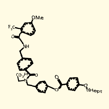 CCCCCCCOc1ccc(C(=O)Oc2ccc(CN(CC(=O)O)C(=O)c3ccc(CNC(=O)c4ccc(OC)cc4C(F)(F)F)cc3)cc2)cc1